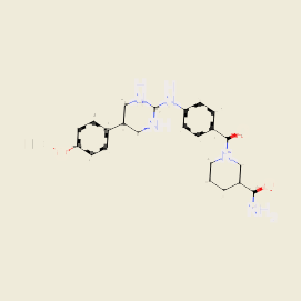 COc1ccc(C2CNC(Nc3ccc(C(=O)N4CCCC(C(N)=O)C4)cc3)NC2)cc1